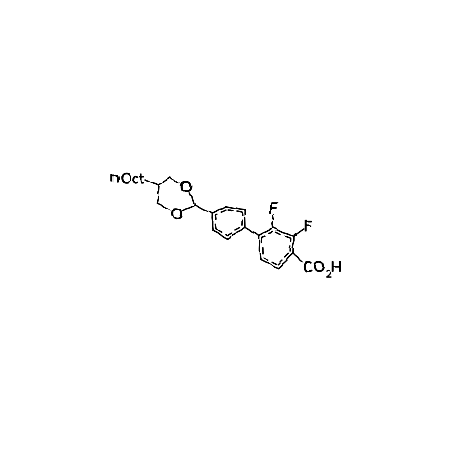 CCCCCCCCC1COC(c2ccc(-c3ccc(C(=O)O)c(F)c3F)cc2)OC1